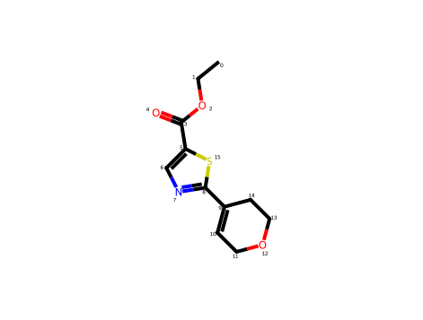 CCOC(=O)c1cnc(C2=CCOCC2)s1